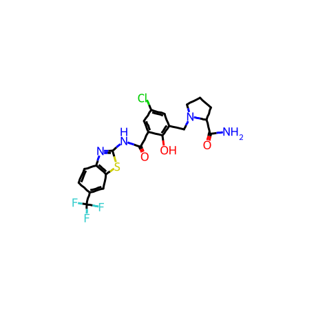 NC(=O)C1CCCN1Cc1cc(Cl)cc(C(=O)Nc2nc3ccc(C(F)(F)F)cc3s2)c1O